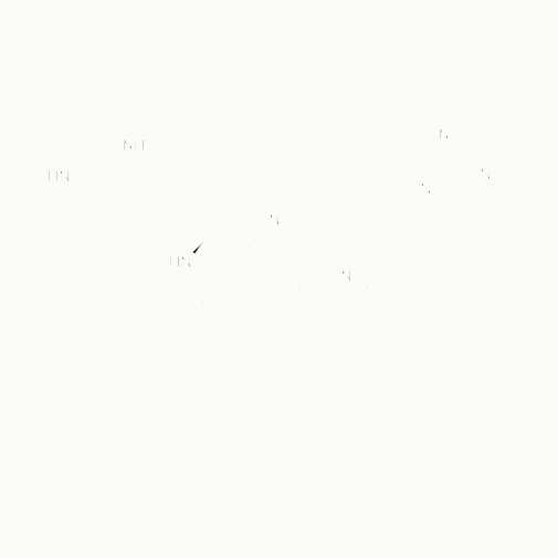 Cc1ccccc1[C@H](Cc1ccc(C(=N)N)cc1)C(=O)N[C@H](C(=O)NC(CCCNC(=N)N)C(N)=O)C1CCCCC1